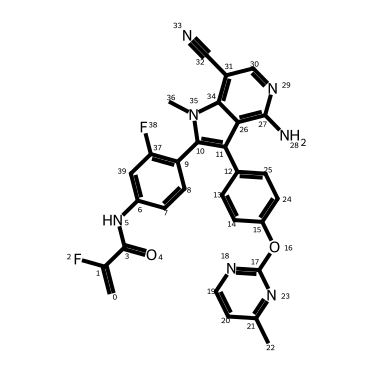 C=C(F)C(=O)Nc1ccc(-c2c(-c3ccc(Oc4nccc(C)n4)cc3)c3c(N)ncc(C#N)c3n2C)c(F)c1